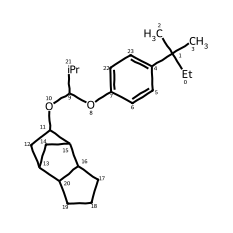 CCC(C)(C)c1ccc(OC(OC2CC3CC2C2CCCC32)C(C)C)cc1